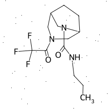 CCCNC(=O)N1CC2CCC1CN(C(=O)C(F)(F)F)C2